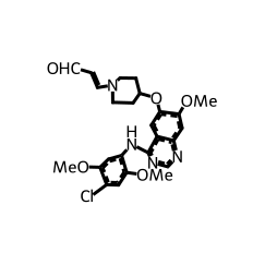 COc1cc(Nc2ncnc3cc(OC)c(OC4CCN(C=CC=O)CC4)cc23)c(OC)cc1Cl